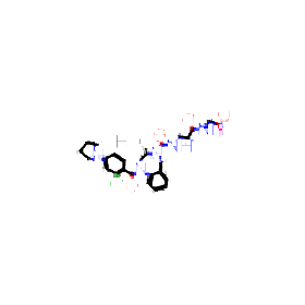 C[C@@H]1CN(C(=O)c2ccc(N3CCCC3)cc2Cl)c2ccccc2CN1C(=O)NCCC(=O)NCCO